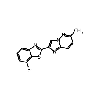 Cc1ccc2nc(-c3nc4cccc(Br)c4s3)cn2n1